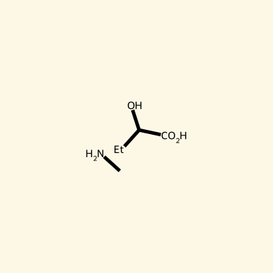 CCC(O)C(=O)O.CN